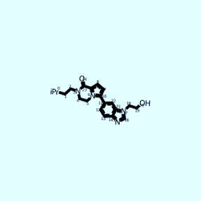 CC(C)CCN1CCn2c(ccc2-c2ccc3ncn(CCO)c3c2)C1=O